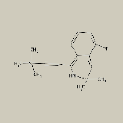 CC1(C)C=c2c(F)cccc2=C(C#C[Si](C)(C)C)N1